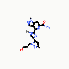 CCn1cc(-c2cc(C)nn2CCCO)nc1-c1nc(C(N)=O)cc2c1cnn2C